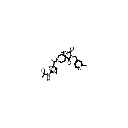 CC(=O)Nc1ncc([C@@H](C)N2CCC3(CC2)NC(=O)N(Cc2ccnc(C)c2)C3=O)s1